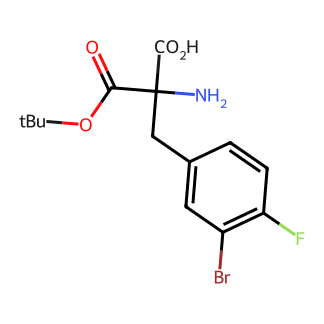 CC(C)(C)OC(=O)C(N)(Cc1ccc(F)c(Br)c1)C(=O)O